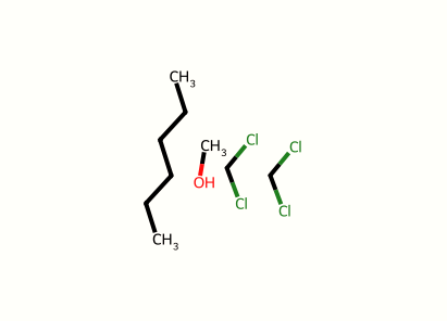 CCCCCC.CO.ClCCl.ClCCl